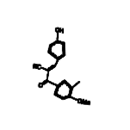 COc1ccc(C(=O)C(C#N)=Cc2ccc(O)cc2)cc1C